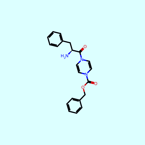 N[C@@H](Cc1ccccc1)C(=O)N1C=CN(C(=O)OCc2ccccc2)C=C1